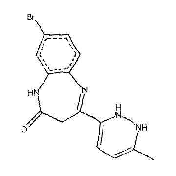 CC1=CC=C(C2=Nc3ccc(Br)cc3NC(=O)C2)NN1